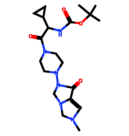 CN1C=C2C(=O)N(N3CCN(C(=O)C(NC(=O)OC(C)(C)C)C4CC4)CC3)CN2C1